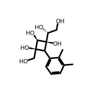 Cc1cccc(C2[C@@](O)([C@H](O)CO)[C@H](O)[C@@]2(O)CO)c1C